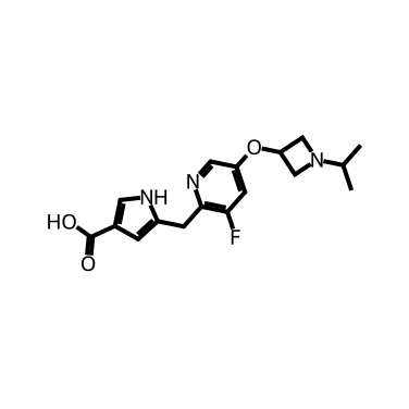 CC(C)N1CC(Oc2cnc(Cc3cc(C(=O)O)c[nH]3)c(F)c2)C1